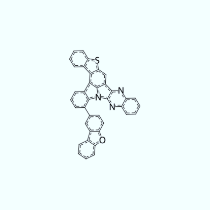 c1ccc2nc3c(nc2c1)c1cc2sc4ccccc4c2c2c4cccc(-c5ccc6oc7ccccc7c6c5)c4n3c12